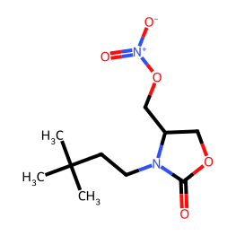 CC(C)(C)CCN1C(=O)OCC1CO[N+](=O)[O-]